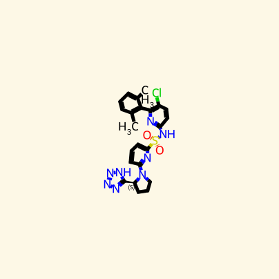 Cc1cccc(C)c1-c1nc(NS(=O)(=O)c2cccc(N3CCC[C@H]3c3nnn[nH]3)n2)ccc1Cl